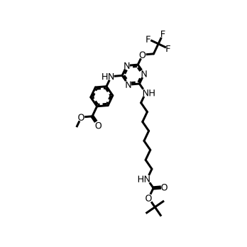 COC(=O)c1ccc(Nc2nc(NCCCCCCCCNC(=O)OC(C)(C)C)nc(OCC(F)(F)F)n2)cc1